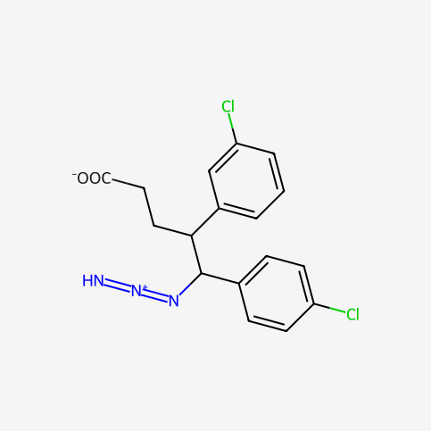 N=[N+]=NC(c1ccc(Cl)cc1)C(CCC(=O)[O-])c1cccc(Cl)c1